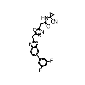 N#CC1(NC(=O)Cc2nnc(Cc3nc4ccc(-c5cc(F)cc(F)c5)cc4s3)o2)CC1